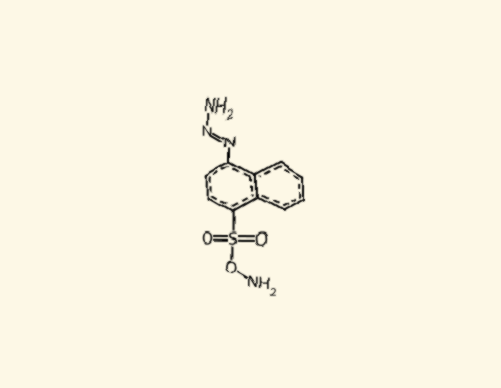 NN=Nc1ccc(S(=O)(=O)ON)c2ccccc12